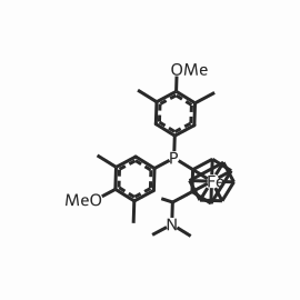 COc1c(C)cc(P(c2cc(C)c(OC)c(C)c2)[C]23[CH]4[CH]5[CH]6[C]2(C(C)N(C)C)[Fe]56432789[CH]3[CH]2[CH]7[CH]8[CH]39)cc1C